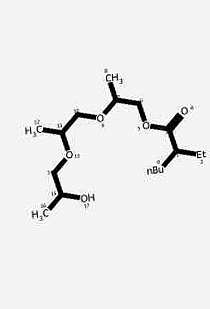 CCCCC(CC)C(=O)OCC(C)OCC(C)OCC(C)O